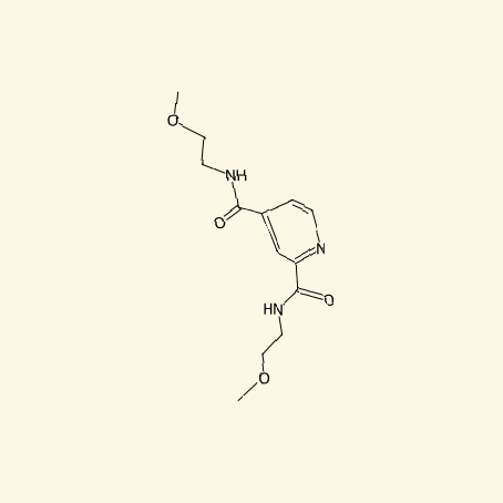 COCCNC(=O)c1ccnc(C(=O)NCCOC)c1